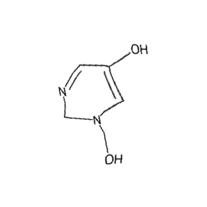 OC1=CN(O)CN=C1